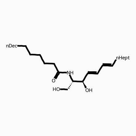 CCCCCCC/C=C/C=C/[C@@H](O)[C@H](CO)NC(=O)CCCCCCCCCCCCCCC